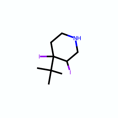 CC(C)(C)C1(I)CCNCC1I